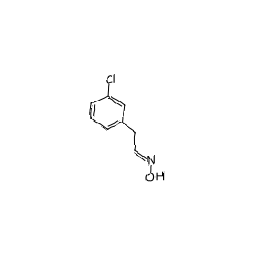 ON=CCc1cccc(Cl)c1